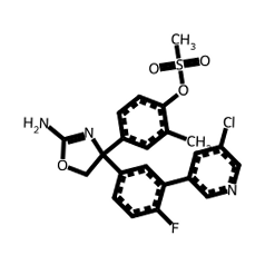 Cc1cc(C2(c3ccc(F)c(-c4cncc(Cl)c4)c3)COC(N)=N2)ccc1OS(C)(=O)=O